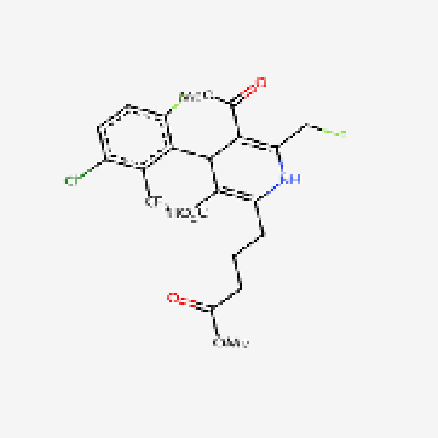 COC(=O)CCCC1=C(C(=O)O)C(c2c(F)ccc(Cl)c2C(F)(F)F)C(C(=O)OC)=C(CF)N1